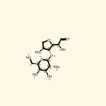 O=C[C@@H](O)[C@@H]1OC[C@H](O)[C@H]1O[C@@H]1O[C@H](CO)[C@H](O)[C@H](O)[C@H]1O